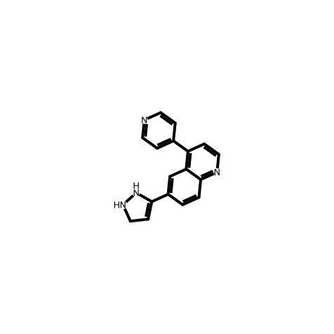 C1=C(c2ccc3nccc(-c4ccncc4)c3c2)NNC1